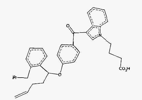 C=CCCC(Oc1ccc(C(=O)c2cn(CCCC(=O)O)c3ccccc23)cc1)c1ccccc1CC(C)C